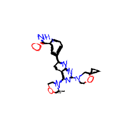 C[C@H]1COCCN1c1nc(N2CCOC3(CC3)C2)nc2nc(-c3cccc(C(N)=O)c3)ccc12